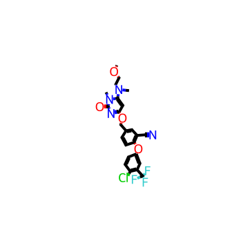 COCCN(C)c1cc(OCc2ccc(Oc3ccc(Cl)c(C(F)(F)F)c3)c(C#N)c2)nc(=O)n1C